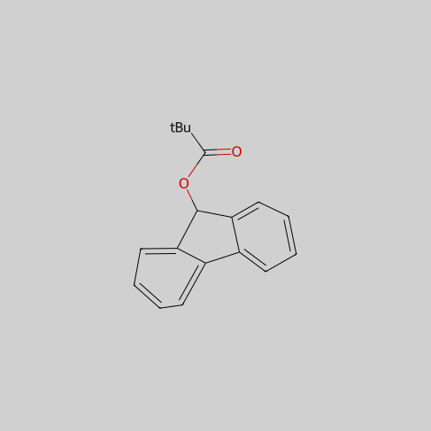 CC(C)(C)C(=O)OC1c2ccccc2-c2ccccc21